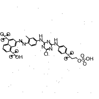 Cc1cc(Nc2nc(Cl)nc(Nc3ccc(S(=O)(=O)CCOS(=O)(=O)O)cc3)n2)ccc1N=Nc1cc(S(=O)(=O)O)c2cccc(S(=O)(=O)O)c2c1